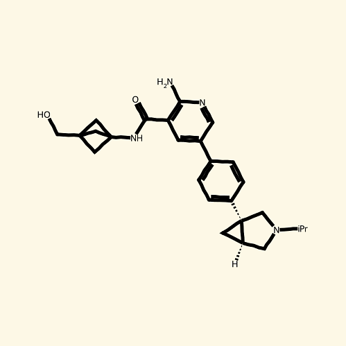 CC(C)N1C[C@H]2C[C@@]2(c2ccc(-c3cnc(N)c(C(=O)NC45CC(CO)(C4)C5)c3)cc2)C1